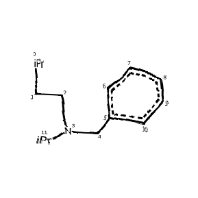 CC(C)CCN(Cc1ccccc1)C(C)C